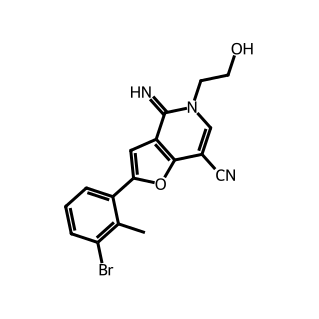 Cc1c(Br)cccc1-c1cc2c(=N)n(CCO)cc(C#N)c2o1